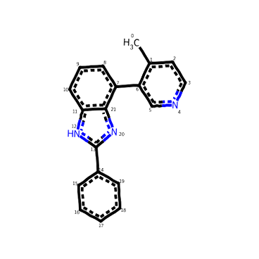 Cc1ccncc1-c1cccc2[nH]c(-c3ccccc3)nc12